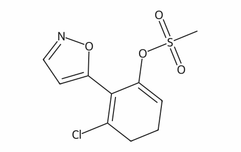 CS(=O)(=O)OC1=CCCC(Cl)=C1c1ccno1